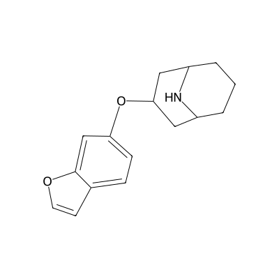 c1cc2ccc(OC3CC4CCCC(C3)N4)cc2o1